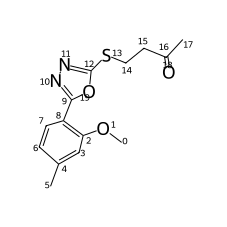 COc1cc(C)ccc1-c1nnc(SCCC(C)=O)o1